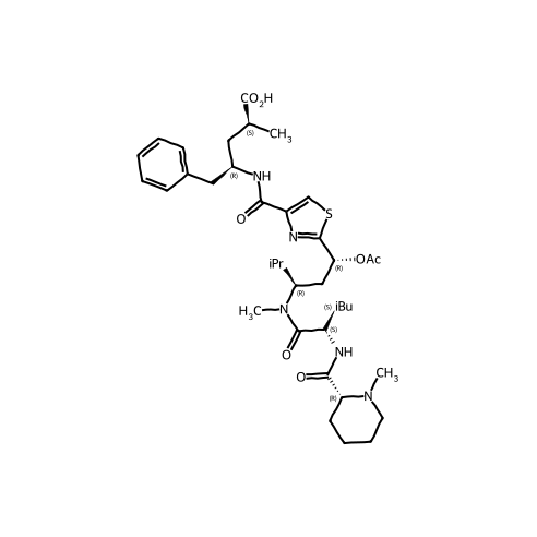 CC[C@H](C)[C@H](NC(=O)[C@H]1CCCCN1C)C(=O)N(C)[C@H](C[C@@H](OC(C)=O)c1nc(C(=O)N[C@@H](Cc2ccccc2)C[C@H](C)C(=O)O)cs1)C(C)C